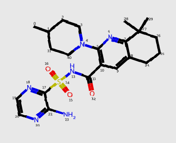 CC1CCN(c2nc3c(cc2C(=O)NS(=O)(=O)c2nccnc2N)CCCC3(C)C)CC1